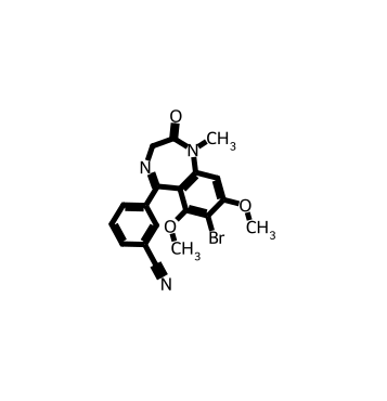 COc1cc2c(c(OC)c1Br)C(c1cccc(C#N)c1)=NCC(=O)N2C